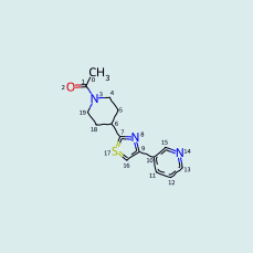 CC(=O)N1CCC(c2nc(-c3cccnc3)cs2)CC1